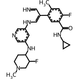 Cc1cc(F)c(C(=O)NC2CC2)cc1/C(C=N)=C/Nc1cncc(NC2CCN(C)CC2F)c1